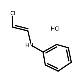 Cl.ClC=CNc1ccccc1